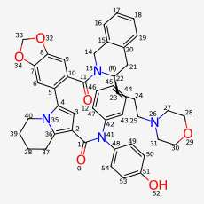 O=C(c1cc(-c2cc3c(cc2C(=O)N2Cc4ccccc4C[C@H]2CCCN2CCOCC2)OCO3)n2c1CCCC2)N(c1ccccc1)c1ccc(O)cc1